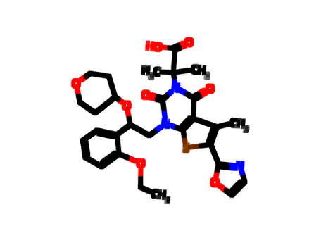 CCOc1ccccc1C(Cn1c(=O)n(C(C)(C)C(=O)O)c(=O)c2c(C)c(-c3ncco3)sc21)OC1CCOCC1